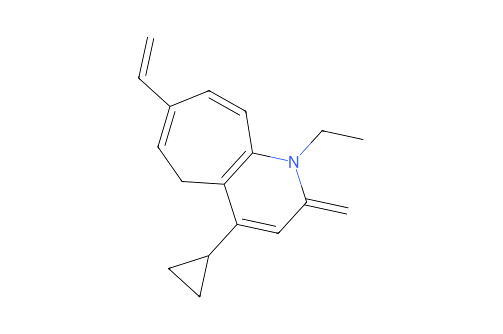 C=CC1=CCC2=C(C=C1)N(CC)C(=C)C=C2C1CC1